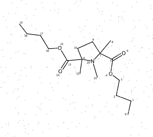 CCCCOC(=O)C1(C)CCC(C)(C(=O)OCCCC)N1C